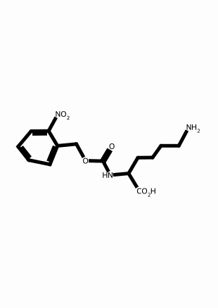 NCCCCC(NC(=O)OCc1ccccc1[N+](=O)[O-])C(=O)O